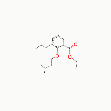 CCCc1cccc(C(=O)OCC)c1OCCC(C)C